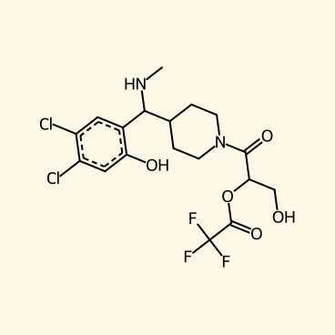 CNC(c1cc(Cl)c(Cl)cc1O)C1CCN(C(=O)C(CO)OC(=O)C(F)(F)F)CC1